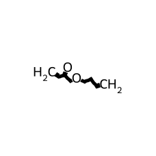 C=CCCOCC(=O)C=C